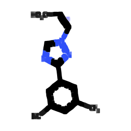 N#Cc1cc(-c2ncn(/C=C\C(=O)O)n2)cc(C(F)(F)F)c1